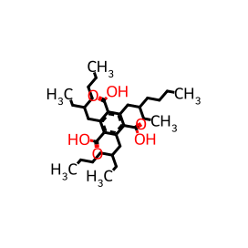 CCCCC(CC)Cc1c(C(=O)O)c(CC(CC)CCCC)c(C(=O)O)c(CC(CC)CCCC)c1C(=O)O